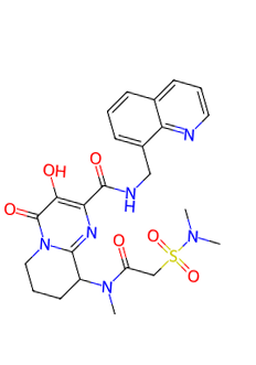 CN(C(=O)CS(=O)(=O)N(C)C)C1CCCn2c1nc(C(=O)NCc1cccc3cccnc13)c(O)c2=O